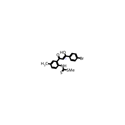 CSC(=S)Nc1ccc(C)cc1C(=O)/C=C(\O)c1ccc(Br)cc1